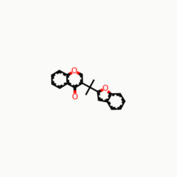 CC(C)(c1cc2ccccc2o1)c1coc2ccccc2c1=O